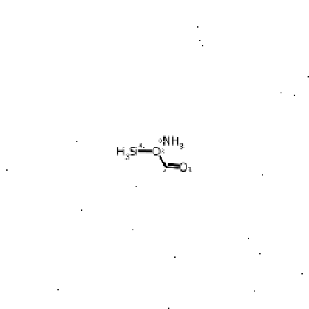 N.O=CO[SiH3]